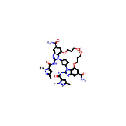 CCn1nc(C)cc1C(=O)Nc1nc2cc(C(N)=O)cc(OCCCO)c2n1C1CCC(n2c(NC(=O)c3cc(C)nn3CC)nc3cc(C(N)=O)cc(OCCCO)c32)C1